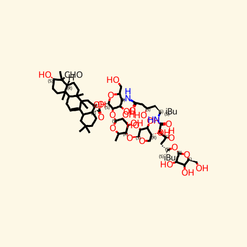 CC[C@H](C)[C@H](C[C@H](O)CC(=O)N[C@H]1C(CO)O[C@@H](OC(=O)[C@]23CCC(C)(C)CC2C2=CCC4C5(C)CC[C@H](O)C(C)(C=O)[C@@H]5CCC4(C)C2(C)C[C@H]3O)C(O[C@@H]2OC(C)[C@H](O[C@@H]3OC[C@@H](O)C(O)C3O)C(O)C2O)C1O)NC(=O)C[C@@H](O)C[C@H](O[C@@H]1O[C@@H](CO)C(O)C1O)[C@@H](C)CC